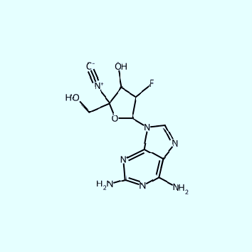 [C-]#[N+]C1(CO)OC(n2cnc3c(N)nc(N)nc32)C(F)C1O